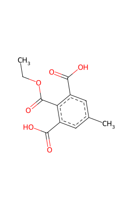 CCOC(=O)c1c(C(=O)O)cc(C)cc1C(=O)O